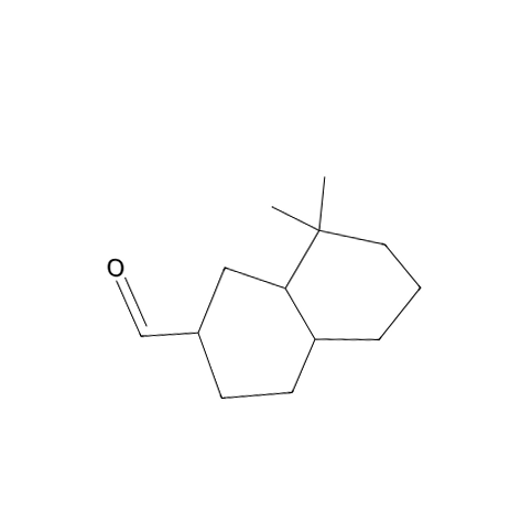 CC1(C)CCCC2CCC(C=O)CC21